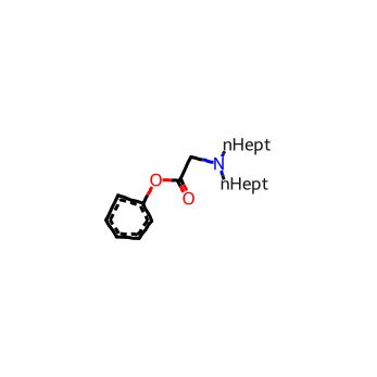 CCCCCCCN(CCCCCCC)CC(=O)Oc1ccccc1